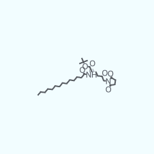 CCCCCCCCCCCCCC(=O)N[C@@H](CCC(=O)CN1C(=O)CCC1=O)C(=O)OC(C)(C)C